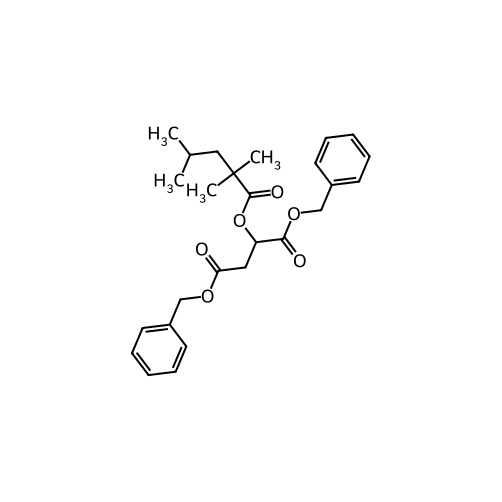 CC(C)CC(C)(C)C(=O)OC(CC(=O)OCc1ccccc1)C(=O)OCc1ccccc1